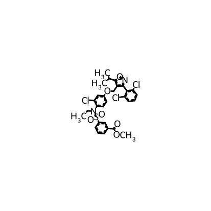 CCN(c1ccc(OCc2c(-c3c(Cl)cccc3Cl)noc2C(C)C)cc1Cl)S(=O)(=O)c1cccc(C(=O)OC)c1